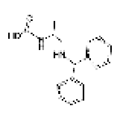 C[C@@H](CNC(c1ccccc1)c1ccccc1)NC(=O)O